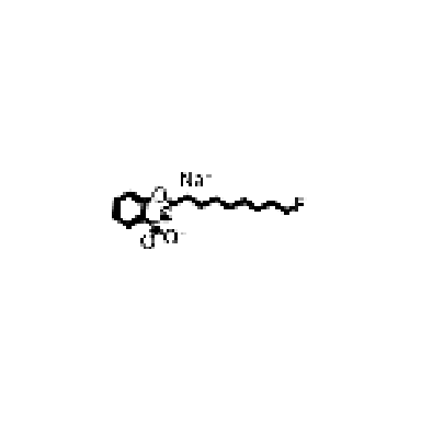 O=S(=O)([O-])c1ccccc1OCCCCCCCCCF.[Na+]